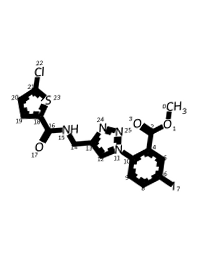 COC(=O)c1cc(I)ccc1-n1cc(CNC(=O)c2ccc(Cl)s2)nn1